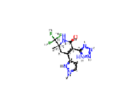 Cn1ccc(C2=C(c3nnn[nH]3)C(=O)N[C@@](C)(C(F)(F)F)C2)n1